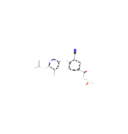 CC(C)Oc1ncc(Oc2ccc(C(=O)NS(C)(=O)=O)cc2C#N)cc1Cl